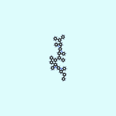 c1ccc(-c2cccc(-c3ccc4c5cc6c(cc5n5c7ccccc7c3c45)c3ccc(-c4cccc(-c5ccccc5-c5cccc(-c7cc(-c8ccccc8)cc(-c8ccc9c%10cc%11c(cc%10n%10c%12ccccc%12c8c9%10)c8ccc(-c9cc(-c%10ccccc%10)cc(-c%10ccccc%10)c9)c9c%10ccccc%10n%11c89)c7)c5)c4)c4c5ccccc5n6c34)c2)cc1